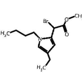 CCCCn1cc(CC)cc1C(Br)C(=O)OC